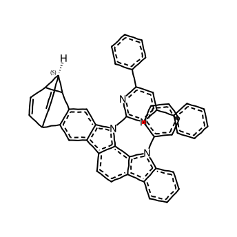 C1=CC2C3c4cc5c(cc4C1C=C[C@@H]23)c1ccc2c3ccccc3n(-c3ccccc3)c2c1n5-c1nc(-c2ccccc2)cc(-c2ccccc2)n1